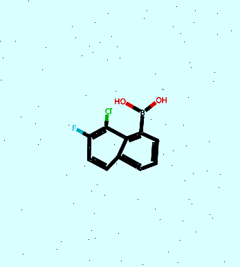 OB(O)c1cccc2ccc(F)c(Cl)c12